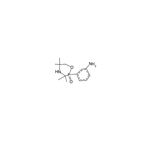 CC1(C)COP(=O)(c2cccc(N)c2)C(C)(C)N1